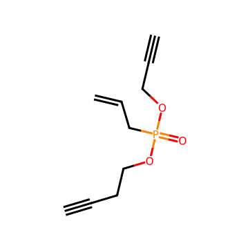 C#CCCOP(=O)(CC=C)OCC#C